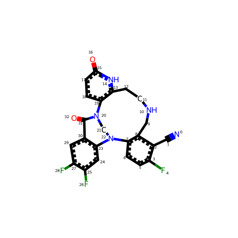 N#Cc1c(F)ccc2c1CNCCc1[nH]c(=O)ccc1N1CN2c2cc(F)c(F)cc2C1=O